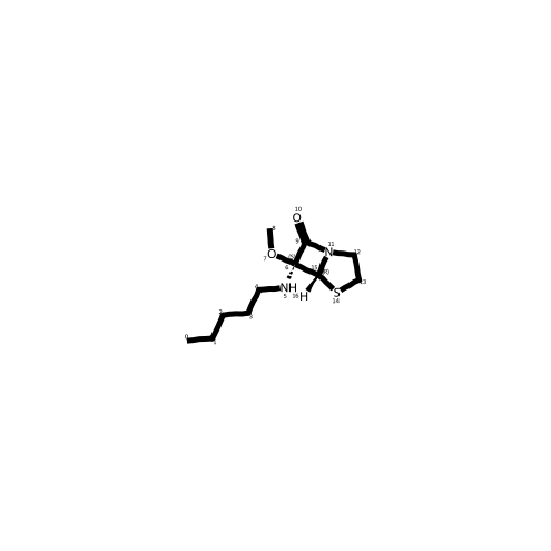 CCCCCN[C@]1(OC)C(=O)N2CCS[C@@H]21